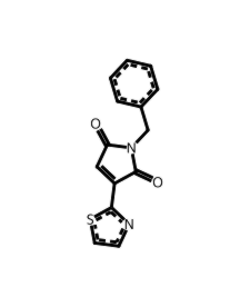 O=C1C=C(c2nccs2)C(=O)N1Cc1ccccc1